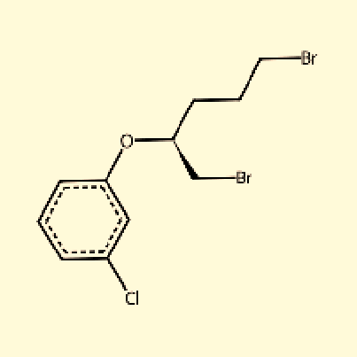 Clc1cccc(O[C@H](CBr)CCCBr)c1